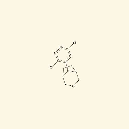 Clc1cc(N2C3CCC2COC3)c(Cl)nn1